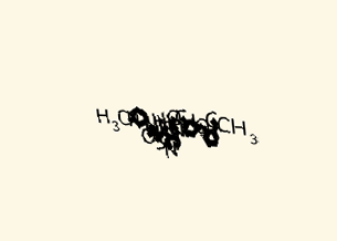 CCN1CCC[C@@H](NC(=O)c2sc3nccc4c3c2NC(=O)N4c2ccc(Oc3ccccc3C(C)C)cc2C)C1